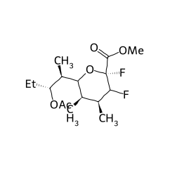 CC[C@@H](OC(C)=O)[C@@H](C)C1O[C@@](F)(C(=O)OC)C(F)[C@@H](C)[C@H]1C